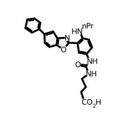 CCCNc1ccc(NC(=O)NCCCC(=O)O)cc1-c1nc2cc(-c3ccccc3)ccc2o1